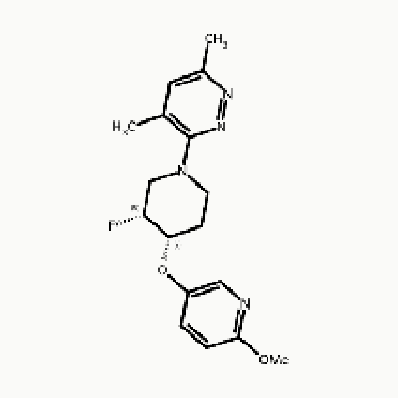 COc1ccc(O[C@H]2CCN(c3nnc(C)cc3C)C[C@H]2F)cn1